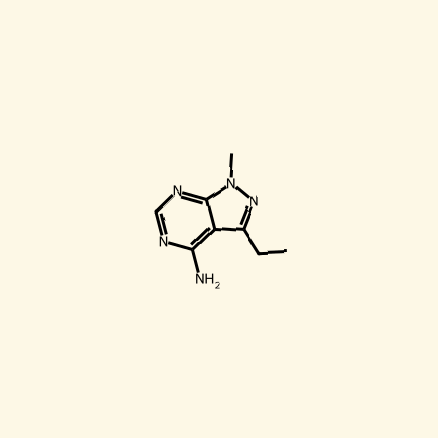 CCc1nn(C)c2ncnc(N)c12